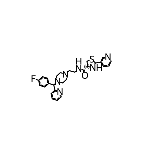 O=C(NCCN1CCN(C(c2ccc(F)cc2)c2ccccn2)CC1)[C@@H]1CSC(c2cccnc2)N1